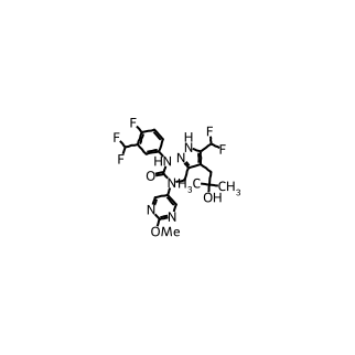 COc1ncc(N(Cc2n[nH]c(C(F)F)c2CC(C)(C)O)C(=O)Nc2ccc(F)c(C(F)F)c2)cn1